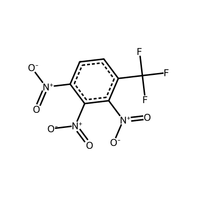 O=[N+]([O-])c1ccc(C(F)(F)F)c([N+](=O)[O-])c1[N+](=O)[O-]